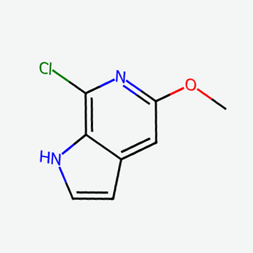 COc1cc2cc[nH]c2c(Cl)n1